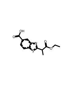 CCOC(=O)C(C)c1nc2cc(C(=O)O)ccc2s1